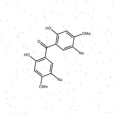 COc1cc(O)c(C(=O)c2c[c]([Na])c(OC)cc2O)c[c]1[Na]